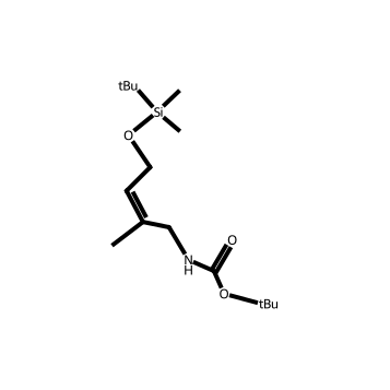 C/C(=C/CO[Si](C)(C)C(C)(C)C)CNC(=O)OC(C)(C)C